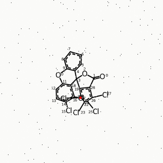 O=C1OC2(c3ccccc3Oc3ccc(Cl)c(Cl)c32)c2c(Cl)c(Cl)c(Cl)c(Cl)c21